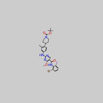 COc1nc(Nc2ccc(C3CCN(C(=O)OC(C)(C)C)CC3)c(C)c2)ncc1C(=O)Nc1c(Br)cccc1I